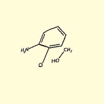 CO.Nc1ccccc1Cl